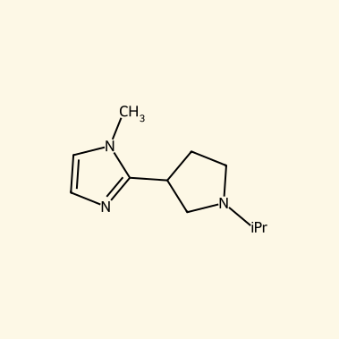 CC(C)N1CCC(c2nccn2C)C1